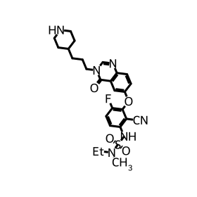 CCN(C)S(=O)(=O)Nc1ccc(F)c(Oc2ccc3ncn(CCCC4CCNCC4)c(=O)c3c2)c1C#N